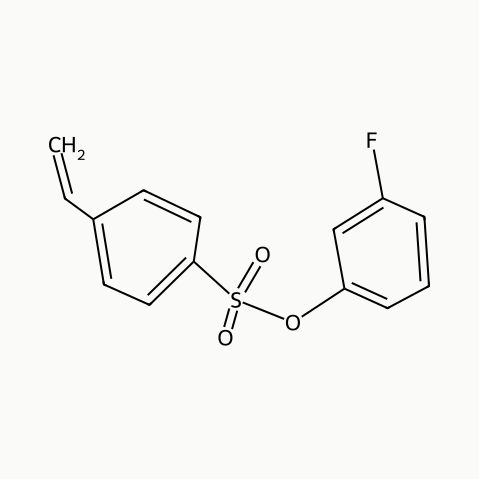 C=Cc1ccc(S(=O)(=O)Oc2cccc(F)c2)cc1